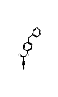 CC#CC(=O)Oc1ccc(Cc2cccnc2)cc1